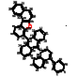 c1ccc(-c2ccc(-c3c4ccccc4c(-c4cccc5c4oc4ccc6ccccc6c45)c4ccccc34)c3ccccc23)cc1